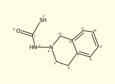 O=C(S)NN1CCc2ccccc2C1